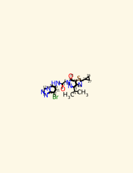 CC(C)c1nn(CC(=O)Nc2cc(Br)c3nncn3c2)c(=O)c2sc(C3CC3)nc12